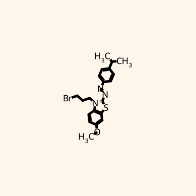 COc1ccc2c(c1)sc(/N=N/c1ccc(C(C)C)cc1)[n+]2CCCBr